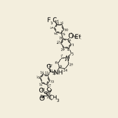 CCOc1cc(CN2CCC(NC(=O)c3cccc(OS(C)(=O)=O)c3)CC2)ccc1-c1ccc(C(F)(F)F)cc1